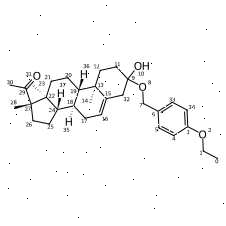 CCOc1ccc(COC2(O)CC[C@@]3(C)C(=CC[C@@H]4[C@@H]3CC[C@@]3(C)[C@H]4CC[C@]3(C)C(C)=O)C2)cc1